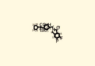 CC(C)(C)C(C(=O)O)(c1ccc(CN2Cc3cc(F)c(F)cc3C2=O)cc1)C1CCCC1